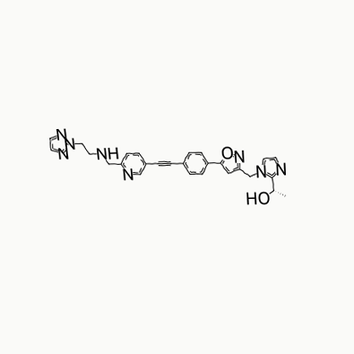 C[C@H](O)c1nccn1Cc1cc(-c2ccc(C#Cc3ccc(CNCCn4nccn4)nc3)cc2)on1